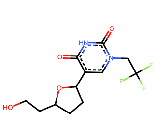 O=c1[nH]c(=O)n(CC(F)(F)F)cc1C1CCC(CCO)O1